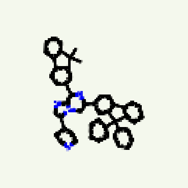 CC1(C)c2ccccc2-c2ccc(-c3nc(-c4ccc5c(c4)C(c4ccccc4)(c4ccccc4)c4ccccc4-5)cn4c(-c5ccncc5)cnc34)cc21